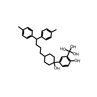 Cc1ccc(C(CCCC2CCC(O)(c3ccc(O)c(C(O)(O)O)c3)CC2)c2ccc(C)cc2)cc1